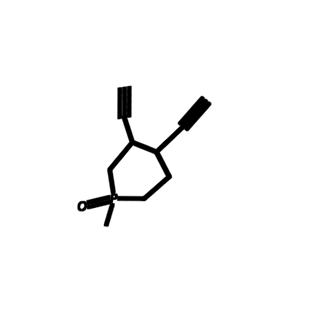 C#CC1CCP(C)(=O)CC1C#C